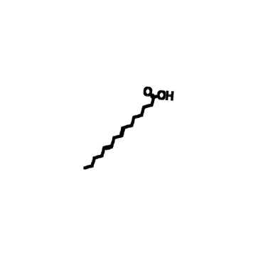 CCCC/C=C/C/C=C/CCCCCC(=O)O